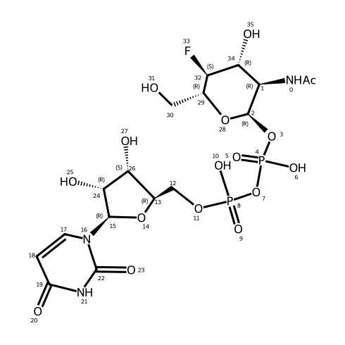 CC(=O)N[C@H]1[C@@H](OP(=O)(O)OP(=O)(O)OC[C@H]2O[C@@H](n3ccc(=O)[nH]c3=O)[C@H](O)[C@@H]2O)O[C@H](CO)[C@@H](F)[C@@H]1O